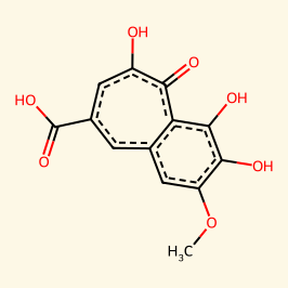 COc1cc2cc(C(=O)O)cc(O)c(=O)c2c(O)c1O